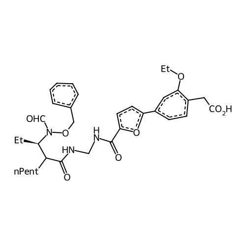 CCCCCC(C(=O)NCNC(=O)c1ccc(-c2ccc(CC(=O)O)c(OCC)c2)o1)[C@@H](CC)N(C=O)OCc1ccccc1